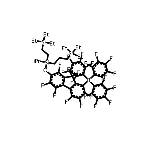 CC[Si](CC)(CC)CCC[Si](CC[Si](CC)(CC)CC)(Oc1c(F)c(F)c2c(c1F)C(F)(F)c1c-2c(F)c(F)c(F)c1[B-](c1c(F)c(F)c(F)c(F)c1F)(c1c(F)c(F)c(F)c(F)c1F)c1c(F)c(F)c(F)c(F)c1F)C(C)C